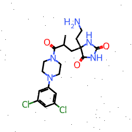 CC(CC1(CCN)NC(=O)NC1=O)C(=O)N1CCN(c2cc(Cl)cc(Cl)c2)CC1